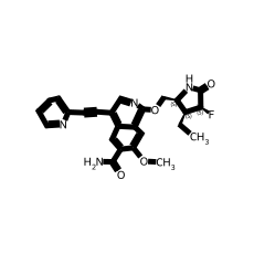 CC[C@@H]1[C@H](F)C(=O)N[C@@H]1COc1ncc(C#Cc2ccccn2)c2cc(C(N)=O)c(OC)cc12